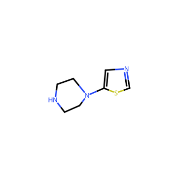 c1ncc(N2CCNCC2)s1